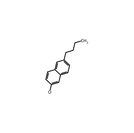 CCCCc1ccc2cc([O])ccc2c1